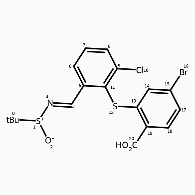 CC(C)(C)[S+]([O-])N=Cc1cccc(Cl)c1Sc1cc(Br)ccc1C(=O)O